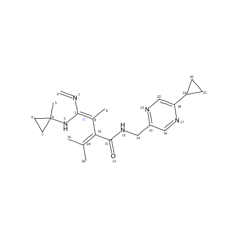 C=N/C(NC1(C)CC1)=C(\C)C(C(=O)NCc1cnc(C2CC2)cn1)=C(C)C